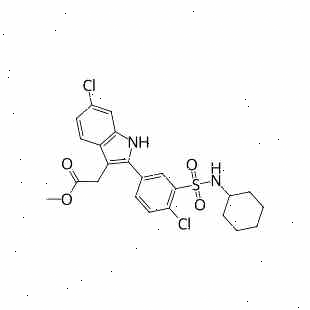 COC(=O)Cc1c(-c2ccc(Cl)c(S(=O)(=O)NC3CCCCC3)c2)[nH]c2cc(Cl)ccc12